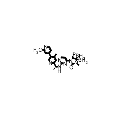 BC1(B)C(C(C)C)N(c2ccnc(N[C@@H](C)c3cc(C)c(-c4ccnc(C(F)(F)F)c4)cn3)n2)C(=O)N1C